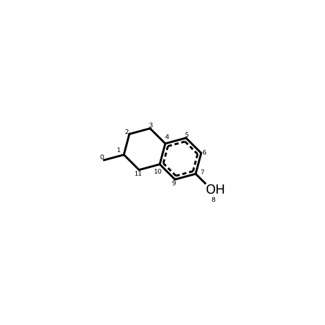 CC1CCc2ccc(O)cc2C1